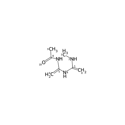 C=C(NC)NC(=C)NC(C)=O